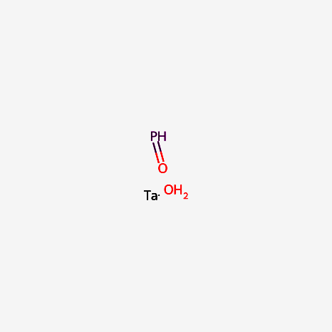 O.O=P.[Ta]